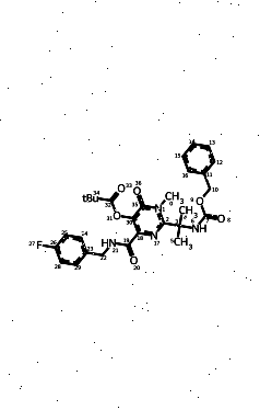 Cn1c(C(C)(C)NC(=O)OCc2ccccc2)nc(C(=O)NCc2ccc(F)cc2)c(OC(=O)C(C)(C)C)c1=O